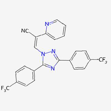 N#CC(=Cn1nc(-c2ccc(C(F)(F)F)cc2)nc1-c1ccc(C(F)(F)F)cc1)c1ccccn1